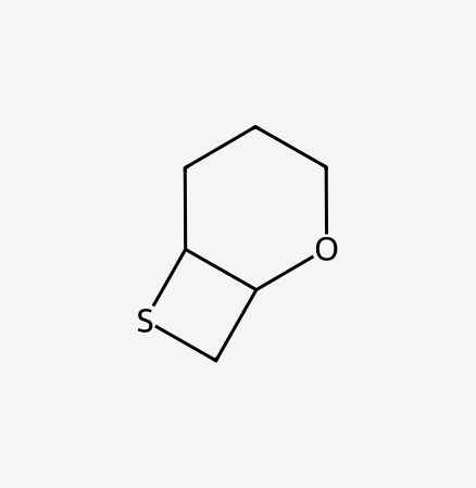 C1COC2CSC2C1